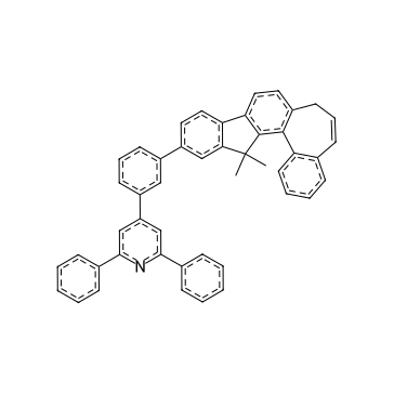 CC1(C)c2cc(-c3cccc(-c4cc(-c5ccccc5)nc(-c5ccccc5)c4)c3)ccc2-c2ccc3c(c21)-c1ccccc1C=CC3